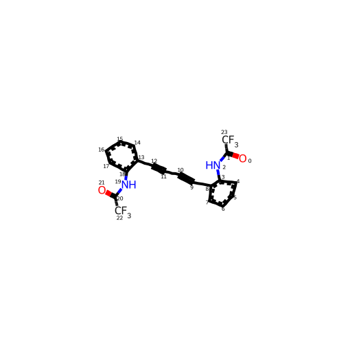 O=C(Nc1ccccc1C#CC#Cc1ccccc1NC(=O)C(F)(F)F)C(F)(F)F